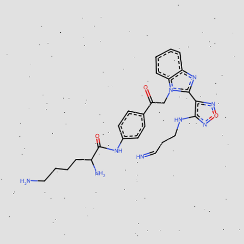 N=CCCNc1nonc1-c1nc2ccccc2n1CC(=O)c1ccc(NC(=O)C(N)CCCCN)cc1